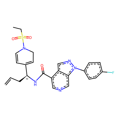 C=CC[C@H](NC(=O)c1cncc2c1cnn2-c1ccc(F)cc1)C1=CCN(S(=O)(=O)CC)C=C1